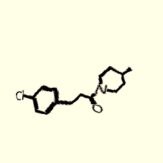 CC1CCN(C(=O)CCc2ccc(Cl)cc2)CC1